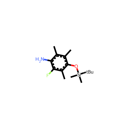 Cc1c(C)c(O[Si](C)(C)C(C)(C)C)c(C)c(F)c1N